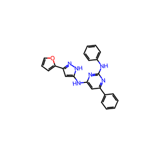 c1ccc(Nc2nc(Nc3cc(-c4ccco4)n[nH]3)cc(-c3ccccc3)n2)cc1